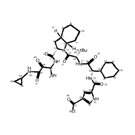 CCC[C@H](NC(=O)[C@@H]1C[C@@H]2CCCC[C@@H]2N1C(=O)[C@@H](NC(=O)[C@@H](NC(=O)c1cc(C(=O)CC)c[nH]1)C1CCCCC1)C(C)(C)C)C(=O)C(=O)NC1CC1